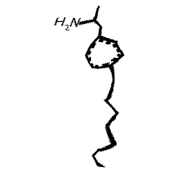 CCCCCCCc1ccc([C](C)N)cc1